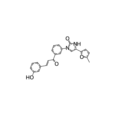 Cc1ccc(-c2cn(-c3cccc(C(=O)C=Cc4cccc(O)c4)c3)c(=O)[nH]2)o1